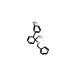 Nc1cccc(C2C=CC=CC2(N)OCc2ccccc2)c1